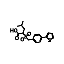 CC(C)CC(C(=O)O)S(=O)(=O)Cc1ccc(-c2cccs2)cc1